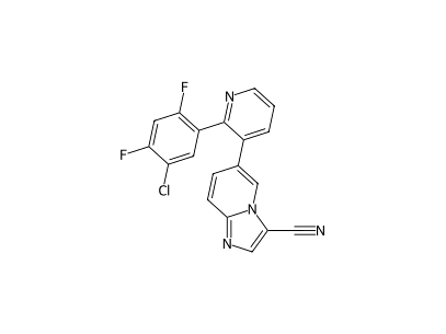 N#Cc1cnc2ccc(-c3cccnc3-c3cc(Cl)c(F)cc3F)cn12